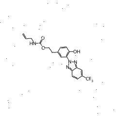 C=CCNC(=O)OCCc1ccc(O)c(-n2nc3ccc(C(F)(F)F)cc3n2)c1